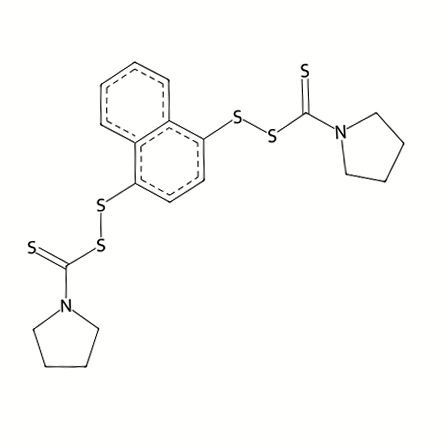 S=C(SSc1ccc(SSC(=S)N2CCCC2)c2ccccc12)N1CCCC1